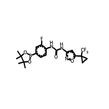 CC1(C)OB(c2ccc(NC(=O)Nc3cc(C4(C(F)(F)F)CC4)on3)c(F)c2)OC1(C)C